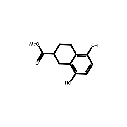 COC(=O)C1CCc2c(O)ccc(O)c2C1